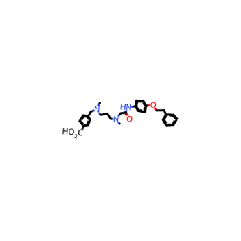 CN(CCCN(C)Cc1ccc(C(=O)O)cc1)CC(=O)Nc1ccc(OCCc2ccccc2)cc1